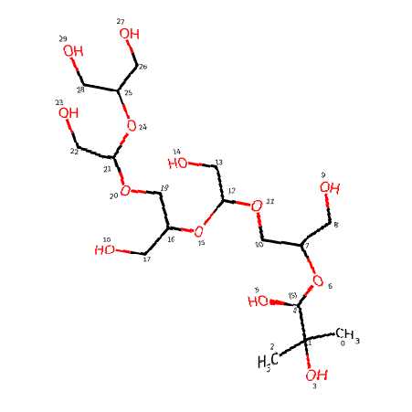 CC(C)(O)[C@@H](O)OC(CO)COC(CO)OC(CO)COC(CO)OC(CO)CO